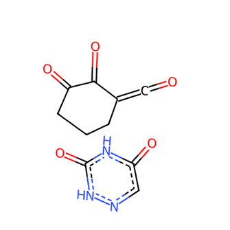 O=C=C1CCCC(=O)C1=O.O=c1cn[nH]c(=O)[nH]1